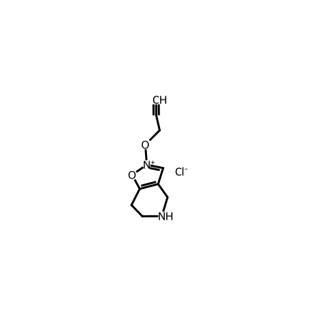 C#CCO[n+]1cc2c(o1)CCNC2.[Cl-]